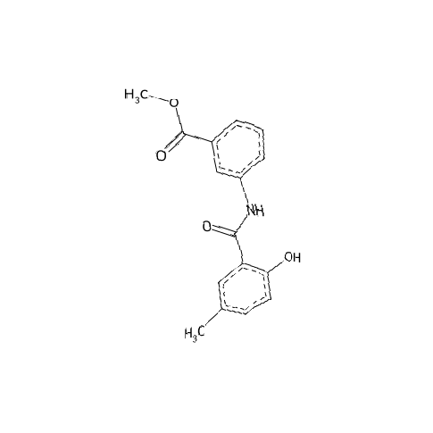 COC(=O)c1cccc(NC(=O)c2cc(C)ccc2O)c1